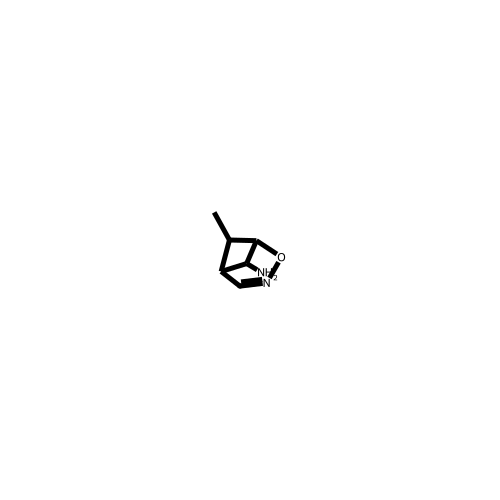 CC1C2C=NOC1C2N